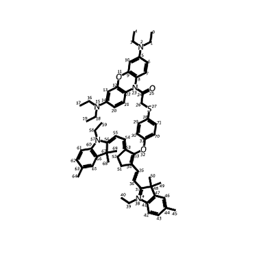 CCN(CC)c1ccc2c(c1)Oc1cc(N(CC)CC)ccc1N2C(=O)CSc1ccc(OC2=C(/C=C/C3=[N+](CC)c4ccc(C)cc4C3(C)C)CC/C2=C\C=C2\N(CC)c3ccc(C)cc3C2(C)C)cc1